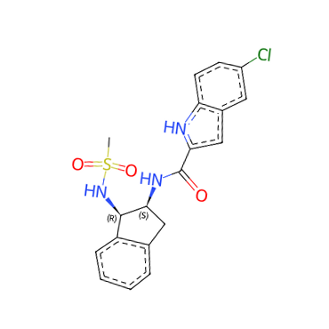 CS(=O)(=O)N[C@@H]1c2ccccc2C[C@@H]1NC(=O)c1cc2cc(Cl)ccc2[nH]1